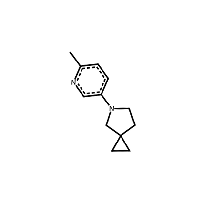 Cc1ccc(N2CCC3(CC3)C2)cn1